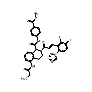 COCC(=O)Nc1cccc2c1CCN(C(=O)/C=C/c1c(-n3cnnn3)ccc(Cl)c1F)C2C(=O)Nc1ccc(C(=O)OC(C)(C)C)cc1